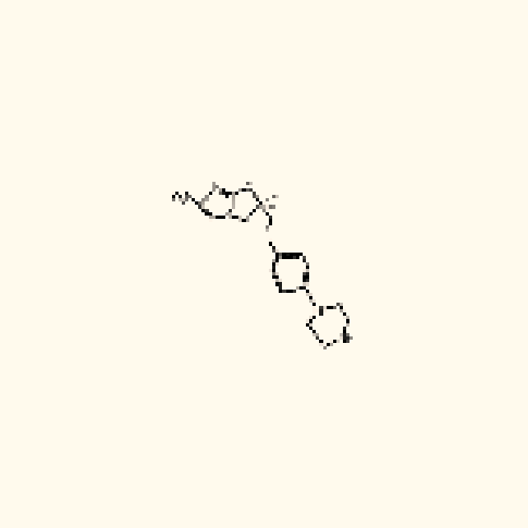 C[C@]1(COc2ccc(N3CCNCC3)cc2)Cn2cc([N+](=O)[O-])nc2O1